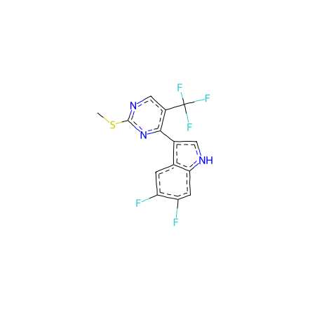 CSc1ncc(C(F)(F)F)c(-c2c[nH]c3cc(F)c(F)cc23)n1